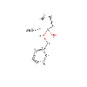 O=CC1C=CC=CC1(O)OCc1ccccc1